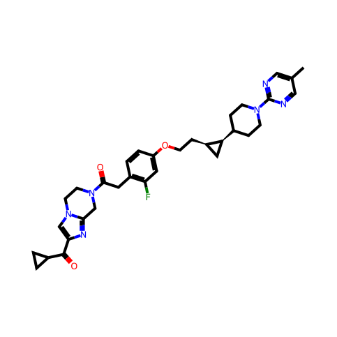 Cc1cnc(N2CCC([C@H]3C[C@H]3CCOc3ccc(CC(=O)N4CCn5cc(C(=O)C6CC6)nc5C4)c(F)c3)CC2)nc1